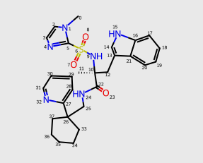 Cn1ccnc1S(=O)(=O)N[C@@](C)(Cc1c[nH]c2ccccc12)C(=O)NCC1(c2ccccn2)CCCCC1